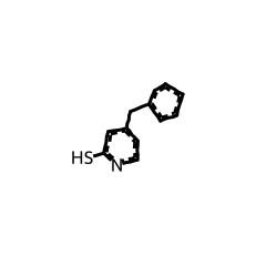 Sc1cc(Cc2ccccc2)ccn1